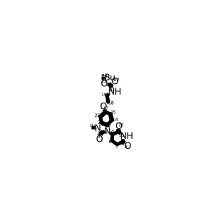 Cn1c(=O)n(C2CCC(=O)NC2=O)c2ccc(OCCNC(=O)OC(C)(C)C)cc21